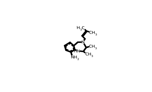 CC(C)=CCN1Cc2cccc(N)c2NC(C)C1C